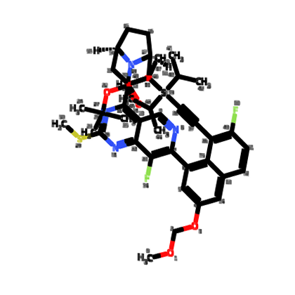 COCOc1cc(-c2ncc3c(C4C[C@H]5CC[C@@H](C4)N5C(=O)OC(C)(C)C)nc(SC)nc3c2F)c2c(C#C[Si](C(C)C)(C(C)C)C(C)C)c(F)ccc2c1